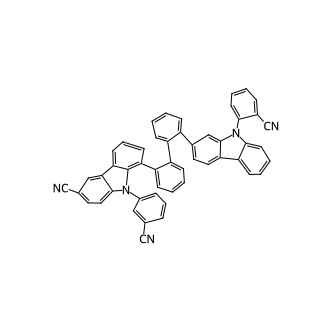 N#Cc1cccc(-n2c3ccc(C#N)cc3c3cccc(-c4ccccc4-c4ccccc4-c4ccc5c6ccccc6n(-c6ccccc6C#N)c5c4)c32)c1